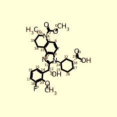 COC(=O)N1c2ccc3c(nc([C@H](O)c4cccc(F)c4OC)n3[C@@H]3CCC[C@@H](C(=O)O)C3)c2CC[C@@H]1C